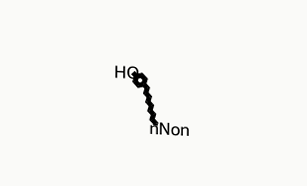 CCCCCCCCCCCCCCCCCCC1CCC(O)CC1